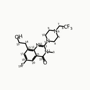 Cn1c(N2CCN(CC(F)(F)F)CC2)nc2c(CCO)cc(F)cc2c1=O